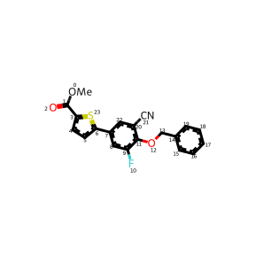 COC(=O)c1ccc(-c2cc(F)c(OCc3ccccc3)c(C#N)c2)s1